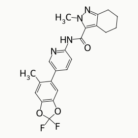 Cc1cc2c(cc1-c1ccc(NC(=O)c3c4c(nn3C)CCCC4)nc1)OC(F)(F)O2